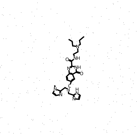 CCCN(CCC)CCNC(=O)c1nc2ccc(CN(Cc3ncc[nH]3)Cc3nccn3C)cc2c(=O)[nH]1